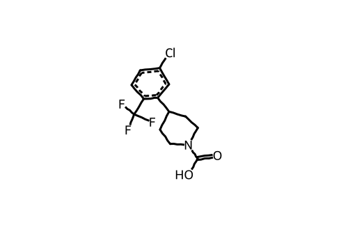 O=C(O)N1CCC(c2cc(Cl)ccc2C(F)(F)F)CC1